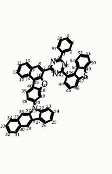 c1ccc(-c2nc(-c3cc4ccccc4c4c3oc3cc(-n5c6ccccc6c6cc7ccccc7cc65)ccc34)nc(-c3cccc4sc5ccccc5c34)n2)cc1